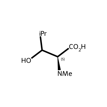 CN[C@H](C(=O)O)C(O)C(C)C